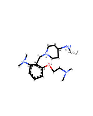 CN(C)CCOc1cccc(N(C)C)c1CN1CCC(NC(=O)O)CC1